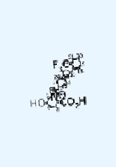 O=C(O)C1CCC(O)CN1S(=O)(=O)c1ccc(OCc2ccccc2C(F)(F)F)cc1